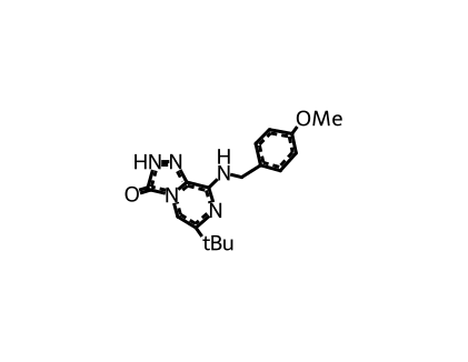 COc1ccc(CNc2nc(C(C)(C)C)cn3c(=O)[nH]nc23)cc1